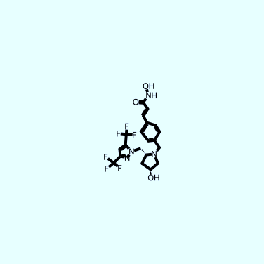 O=C(/C=C/c1ccc(CN2C[C@H](O)C[C@@H]2Cn2nc(C(F)(F)F)cc2C(F)(F)F)cc1)NO